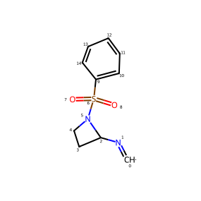 [CH]=NC1CCN1S(=O)(=O)c1ccccc1